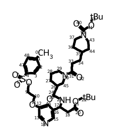 Cc1ccc(S(=O)(=O)OCCOc2cncc(C(CC(=O)OC(C)(C)C)NC(=O)C3CCCN(C(=O)CCC4CCN(C(=O)OC(C)(C)C)CC4)C3)c2)cc1